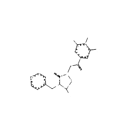 CCCCC1CN(CC(=O)c2cc(C(C)(C)C)c(O)c(C(C)(C)C)c2)C(=N)C1Cc1ccccc1